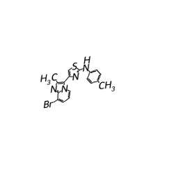 Cc1ccc(Nc2nc(-c3c(C)nc4c(Br)cccn34)cs2)cc1